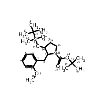 COc1ccccc1CC1C(O[Si](C)(C)C(C)(C)C)CCN1C(=O)OC(C)(C)C